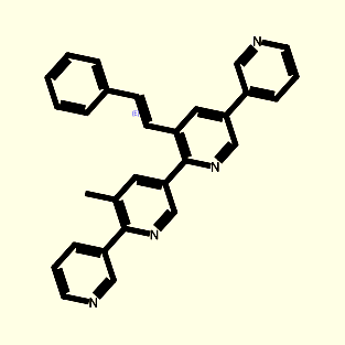 Cc1cc(-c2ncc(-c3cccnc3)cc2/C=C/c2ccccc2)cnc1-c1cccnc1